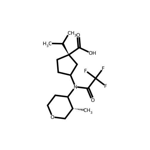 CC(C)[C@]1(C(=O)O)CCC(N(C(=O)C(F)(F)F)C2CCOC[C@H]2C)C1